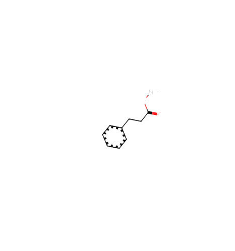 O=C(CCc1ccccc1)O[N+](=O)[O-]